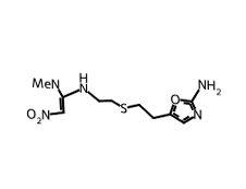 CNC(=C[N+](=O)[O-])NCCSCCc1cnc(N)o1